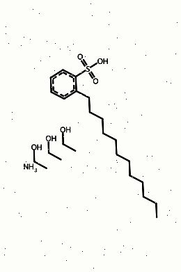 CCCCCCCCCCCCc1ccccc1S(=O)(=O)O.CCO.CCO.CCO.N